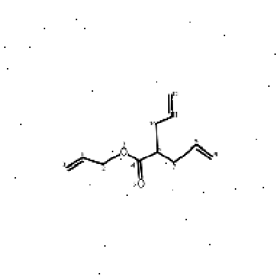 C=CCOC(=O)C(CC=C)CC=C